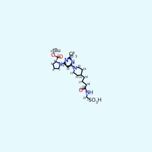 CC(C)(C)OC(=O)[C@@H]1CCCN1c1cc(N2CCC(CCCC(=O)NCS(=O)(=O)O)CC2)nc(C(F)(F)F)n1